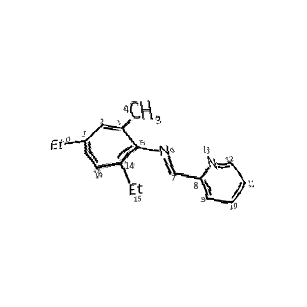 CCc1cc(C)c(N=Cc2ccccn2)c(CC)c1